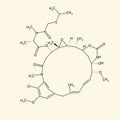 COc1cc2cc(c1Cl)N(C)C(=O)C[C@H](OC(=O)[C@H](C)N(C)C(=O)CSC(C)C)[C@]1(C)O[C@H]1[C@H](C)[C@@H]1C[C@@](O)(NC(=O)O1)[C@H](OC)/C=C/C=C(\C)C2